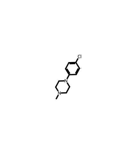 CN1CCN(c2c[c]c(Cl)cc2)CC1